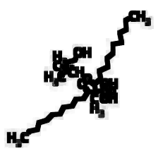 CCCCCCCCCCCC(=O)C(C)(C(=O)CCCCCCCCCCC)P(=O)(O)O.C[N+](C)(C)CCO